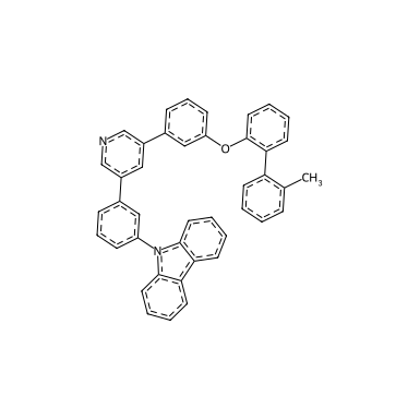 Cc1ccccc1-c1ccccc1Oc1cccc(-c2cncc(-c3cccc(-n4c5ccccc5c5ccccc54)c3)c2)c1